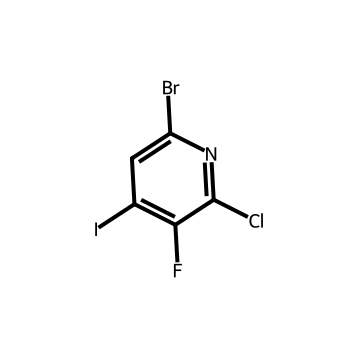 Fc1c(I)cc(Br)nc1Cl